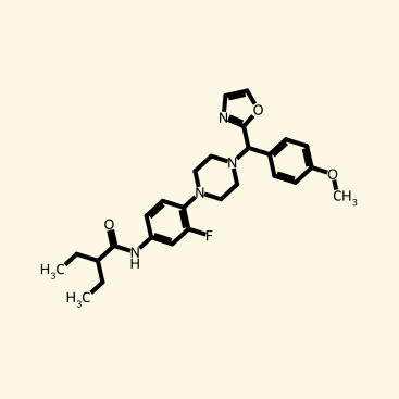 CCC(CC)C(=O)Nc1ccc(N2CCN(C(c3ccc(OC)cc3)c3ncco3)CC2)c(F)c1